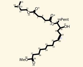 CCCCCC(OC(=O)CCCC(=O)OCCN(C)C)C(O)C/C=C\CCCCCCCC(=O)OC